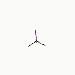 C[C](C)I